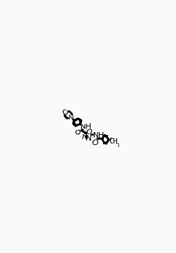 Cc1ccc(C(=O)Nc2nnc(C(=O)Nc3ccc(N4CCOCC4)cc3)o2)cc1